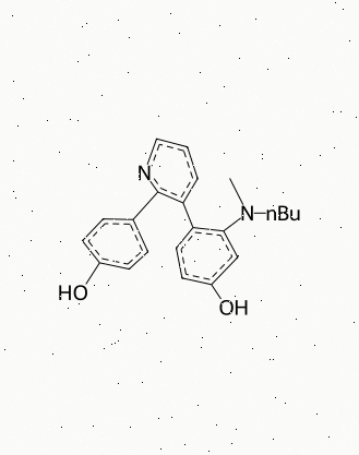 CCCCN(C)c1cc(O)ccc1-c1cccnc1-c1ccc(O)cc1